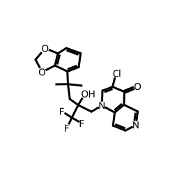 CC(C)(CC(O)(Cn1cc(Cl)c(=O)c2cnccc21)C(F)(F)F)c1cccc2c1OCO2